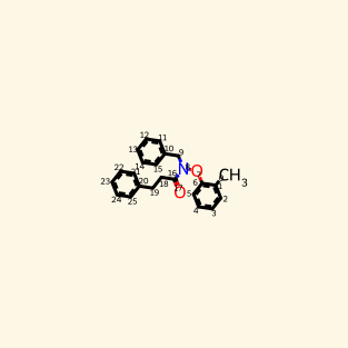 Cc1ccccc1ON(Cc1ccccc1)C(=O)CCc1ccccc1